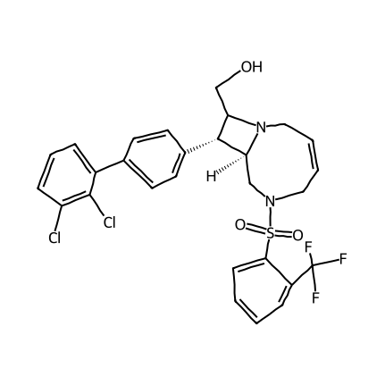 O=S(=O)(c1ccccc1C(F)(F)F)N1C/C=C\CN2C(CO)[C@@H](c3ccc(-c4cccc(Cl)c4Cl)cc3)[C@@H]2C1